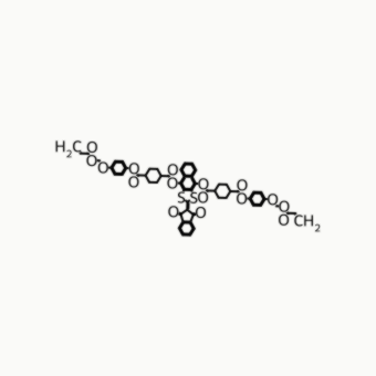 C=CC(=O)OCOc1ccc(OC(=O)C2CCC(C(=O)Oc3c4c(c(OC(=O)C5CCC(C(=O)Oc6ccc(OCOC(=O)C=C)cc6)CC5)c5ccccc35)SC(=C3C(=O)c5ccccc5C3=O)S4)CC2)cc1